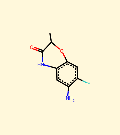 CC1Oc2cc(F)c(N)cc2NC1=O